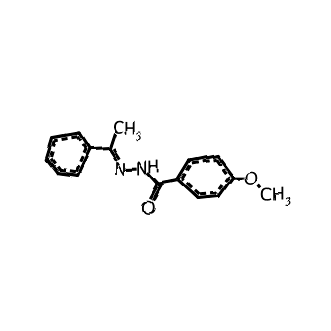 COc1ccc(C(=O)N/N=C(\C)c2ccccc2)cc1